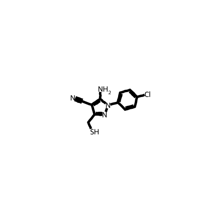 N#Cc1c(CS)nn(-c2ccc(Cl)cc2)c1N